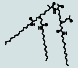 CCCCCCCCCCCCNC(=O)CCN(CCCCC(NC(=O)C(C)CCCCN(CCC(=O)NCCCCCCCCCCCC)CCC(=O)NCCCCCCCCCCCC)C(C)=O)CCC(C)=O